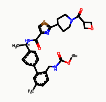 C[C@@H](NC(=O)c1csc(C2CCN(C(=O)C3COC3)CC2)n1)c1ccc(-c2cc(C(F)(F)F)ccc2CNC(=O)OC(C)(C)C)cc1